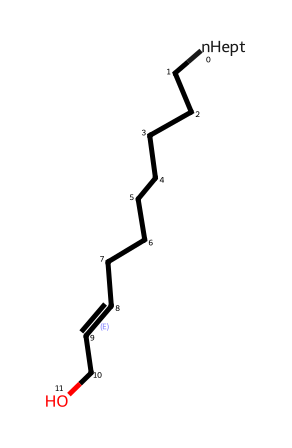 CCCCCCCCCCCCCC/C=C/CO